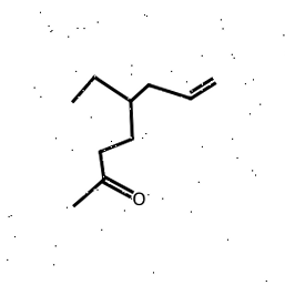 C=CCC(CC)CCC(C)=O